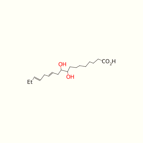 CCC=CCC=CCC(O)C(O)CCCCCCCC(=O)O